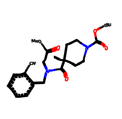 COC(=O)CN(Cc1ccccc1C#N)C(=O)C1(C)CCN(C(=O)OC(C)(C)C)CC1